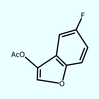 CC(=O)Oc1coc2ccc(F)cc12